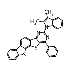 Cc1c(C)n(-c2nc(-c3ccccc3)c3sc4c(ccc5c6ccccc6sc54)c3n2)c2ccccc12